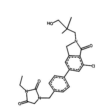 CCN1C(=O)CN(Cc2ccc(-c3cc(Cl)c4c(c3)CN(CC(C)(C)CO)C4=O)cc2)C1=O